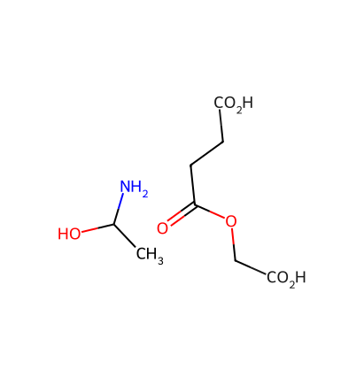 CC(N)O.O=C(O)CCC(=O)OCC(=O)O